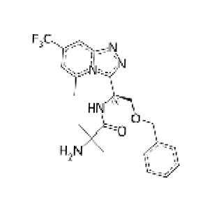 Cc1cc(C(F)(F)F)cc2nnc([C@@H](COCc3ccccc3)NC(=O)C(C)(C)N)n12